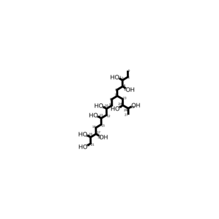 CCC(O)C(O)[CH]C(CCC(O)CC(O)CCC(O)C(O)CO)CC(O)C(C)O